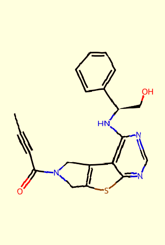 CC#CC(=O)N1Cc2sc3ncnc(N[C@H](CO)c4ccccc4)c3c2C1